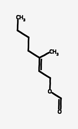 CCCC/C(C)=C/COC=O